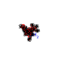 CC[Si](CC)(CC)O[C@H]1CCC2(C)C3CC=C4C5CC(C)(C)CC[C@]5(C(=O)O[C@@H]5O[C@H](COCc6ccccc6)[C@H](N)C(OCc6ccccc6)C5O[C@@H]5O[C@H](C)[C@H](O[C@@H]6OC[C@@H](OCc7ccccc7)C(OCc7ccccc7)C6OCc6ccccc6)C6OC(C)(C)OC65)[C@@H](O[Si](CC)(CC)CC)C[C@@]4(C)C3(C)CC[C@H]2[C@@]1(C)C=O